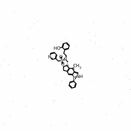 C[C@H]1C2=CNN(c3ccccc3)C2=CC2=C1[C@@H](CN(CCc1ccccc1O)S(=O)(=O)Cc1cccnc1)CC2